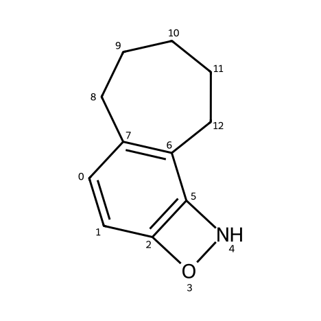 c1cc2o[nH]c2c2c1CCCCC2